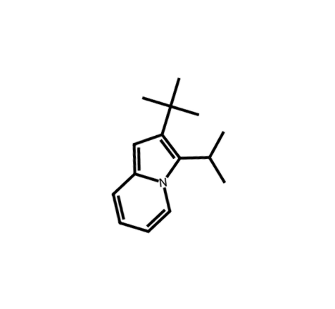 CC(C)c1c(C(C)(C)C)cc2ccccn12